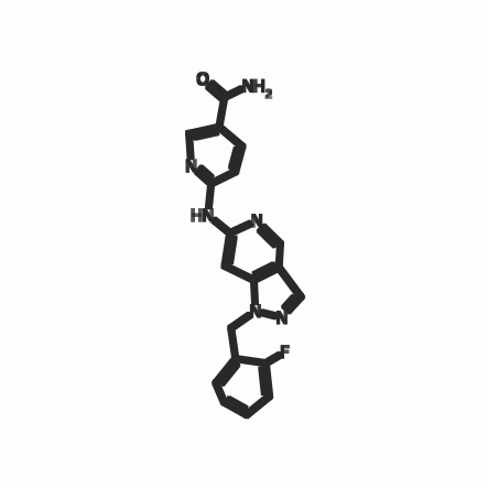 NC(=O)c1ccc(Nc2cc3c(cn2)cnn3Cc2ccccc2F)nc1